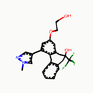 Cn1cc(-c2cc(OCCO)cc3c2-c2ccccc2C3(O)C(F)(F)F)cn1